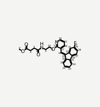 COC(=O)CCC(=O)NCCOc1ncccc1C=C1c2ccccc2-c2ccc(F)cc21